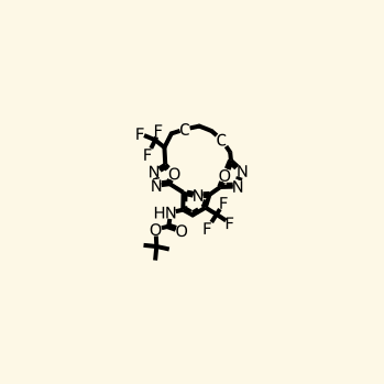 CC(C)(C)OC(=O)Nc1cc(C(F)(F)F)c2nc1-c1nnc(o1)C(C(F)(F)F)CCCCCCc1nnc-2o1